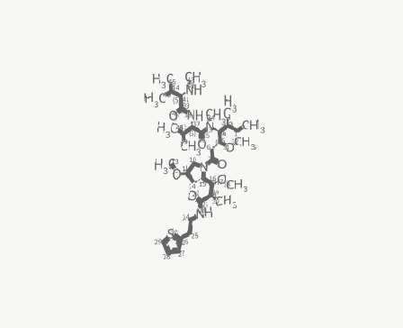 CC[C@H](C)[C@@H]([C@@H](CC(=O)N1C[C@H](OC)C[C@H]1[C@H](OC)[C@@H](C)C(=O)NCCc1cccs1)OC)N(C)C(=O)[C@@H](NC(=O)[C@@H](NC)C(C)C)C(C)C